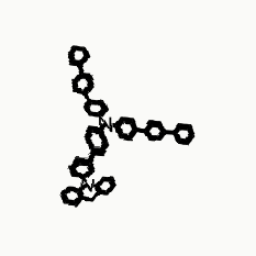 c1ccc(-c2ccc(-c3ccc(N(c4ccc(-c5ccc(-c6ccccc6)cc5)cc4)c4ccc(-c5cccc(N6c7ccccc7Cc7ccccc76)c5)cc4)cc3)cc2)cc1